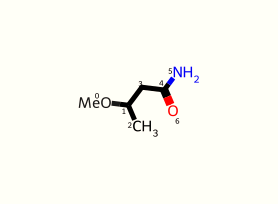 COC(C)CC(N)=O